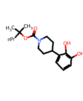 CCCC(C)(C)OC(=O)N1CCC(c2cccc(O)c2O)CC1